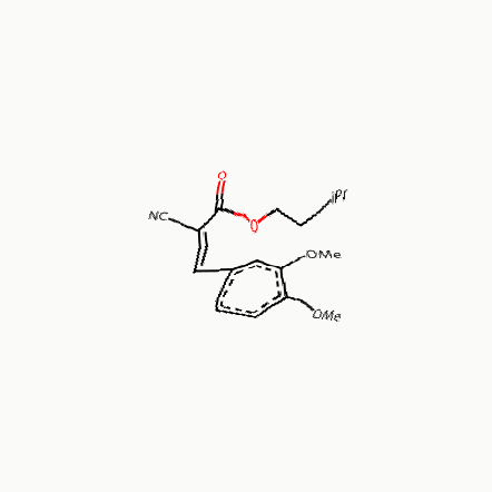 COc1ccc(C=C(C#N)C(=O)OCCC(C)C)cc1OC